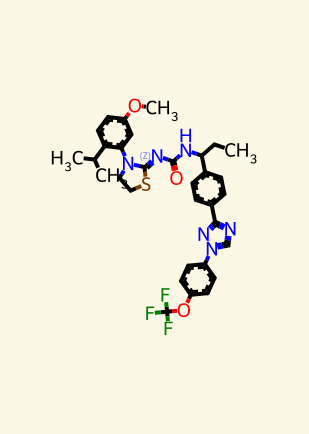 CCC(NC(=O)/N=C1\SCCN1c1cc(OC)ccc1C(C)C)c1ccc(-c2ncn(-c3ccc(OC(F)(F)F)cc3)n2)cc1